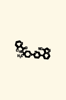 CC1(NC(=O)c2ncccc2Cl)CCN(c2ccc(-c3cccn4ncc(C#N)c34)cn2)CC1